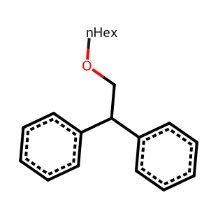 [CH2]CCCCCOCC(c1ccccc1)c1ccccc1